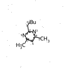 CCC(C)Cc1nc(C)cc(C)n1